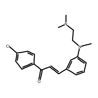 CN(C)CCN(C)c1cccc(/C=C/C(=O)c2ccc(Cl)cc2)c1